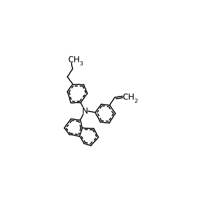 C=Cc1cccc(N(c2ccc(CCC)cc2)c2cccc3ccccc23)c1